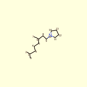 CC(C)CCCC(C)CCN1CCCC1